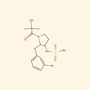 CCS(=O)(=O)NC1CCN(C(=O)C(C)(C)O)C1Cc1cccc(Br)c1